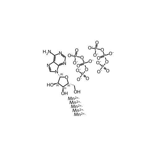 Nc1ncnc2c1ncn2[C@@H]1O[C@H](CO)[C@@H](O)[C@H]1O.O=P([O-])([O-])OP(=O)([O-])OP(=O)([O-])[O-].O=P([O-])([O-])OP(=O)([O-])OP(=O)([O-])[O-].[Mn+2].[Mn+2].[Mn+2].[Mn+2].[Mn+2]